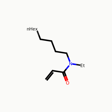 C=CC(=O)N(CC)CCCCCCCCCC